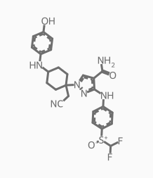 N#CCC1(n2cc(C(N)=O)c(Nc3ccc([S+]([O-])C(F)F)cc3)n2)CCC(Nc2ccc(O)cc2)CC1